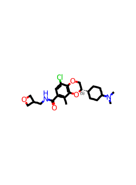 Cc1c(C(=O)NCC2COC2)cc(Cl)c2c1O[C@@H](C1CCC(N(C)C)CC1)CO2